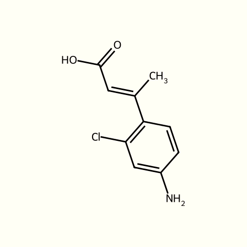 CC(=CC(=O)O)c1ccc(N)cc1Cl